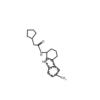 Cc1ccc2[nH]c3c(c2c1)CCCC3NC(=O)CC1CCCC1